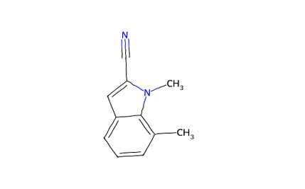 Cc1cccc2cc(C#N)n(C)c12